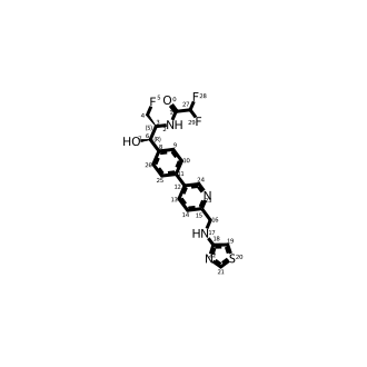 O=C(N[C@H](CF)[C@H](O)c1ccc(-c2ccc(CNc3cscn3)nc2)cc1)C(F)F